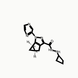 O=C(NNC1CCC1)c1nn(-c2cnccn2)c2c1C[C@H]1C[C@@H]21